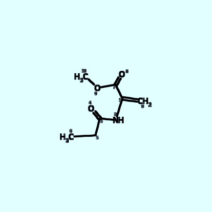 C=C(NC(=O)CC)C(=O)OC